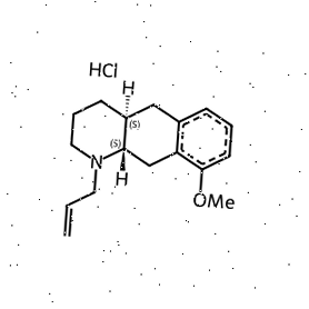 C=CCN1CCC[C@H]2Cc3cccc(OC)c3C[C@@H]21.Cl